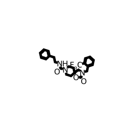 O=C(NCCc1ccccc1)N1CCC2(CC1)CN(Cc1ccccc1C(F)(F)F)C(=O)O2